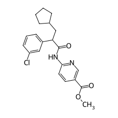 COC(=O)c1ccc(NC(=O)C(CC2CCCC2)c2cccc(Cl)c2)nc1